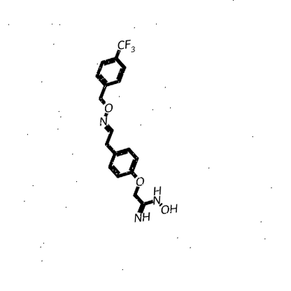 N=C(COc1ccc(CC=NOCc2ccc(C(F)(F)F)cc2)cc1)NO